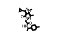 Cc1ccc(C(C)NC(=O)Cn2nc(C)c3c(c(C4CC4)nn3C)c2=O)cc1